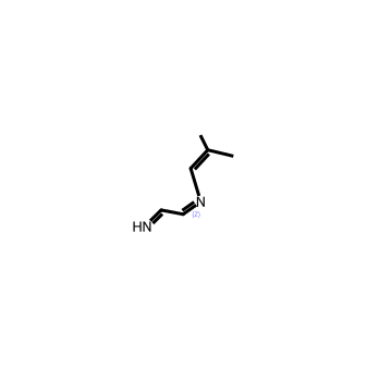 CC(C)=C/N=C\C=N